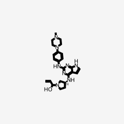 C=CC(O)N1CC[C@H](Nc2nc(Nc3ccc(N4CCN(C)CC4)cc3)nc3[nH]ccc23)C1